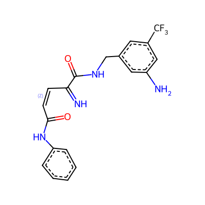 N=C(/C=C\C(=O)Nc1ccccc1)C(=O)NCc1cc(N)cc(C(F)(F)F)c1